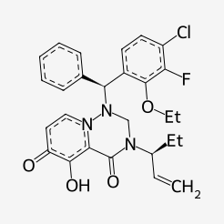 C=C[C@H](CC)N1CN([C@@H](c2ccccc2)c2ccc(Cl)c(F)c2OCC)n2ccc(=O)c(O)c2C1=O